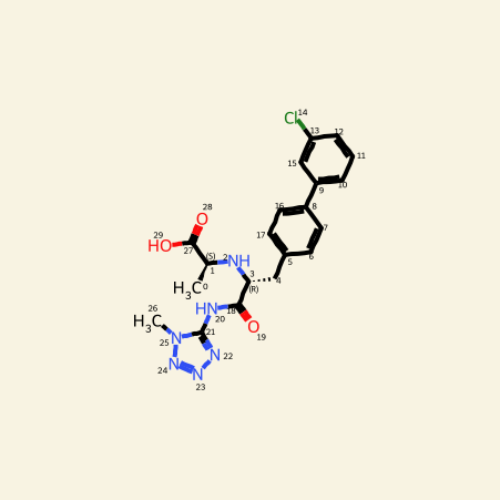 C[C@H](N[C@H](Cc1ccc(-c2cccc(Cl)c2)cc1)C(=O)Nc1nnnn1C)C(=O)O